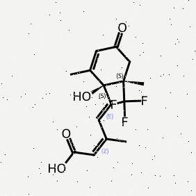 CC1=CC(=O)C[C@](C)(C(F)(F)F)[C@]1(O)/C=C/C(C)=C\C(=O)O